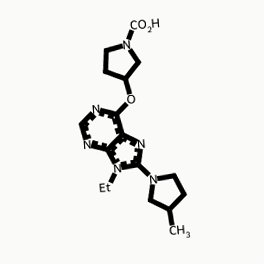 CCn1c(N2CCC(C)C2)nc2c(OC3CCN(C(=O)O)C3)ncnc21